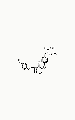 CCO[C@@H](Cc1ccc(OC(CC)C(=O)NCCc2ccc(CC)cc2)cc1)C(=O)O